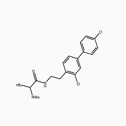 CCCCC(NC)C(=O)NCCc1ccc(-c2ccc(Cl)cc2)cc1Cl